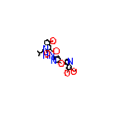 COc1cc2nccc(Oc3ccc(NC(=O)c4cc5c(n(CCC(C)C)c4=O)CCCC5=O)nc3)c2cc1OC